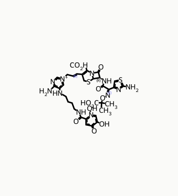 CC(C)(O/N=C(\C(=O)N[C@@H]1C(=O)N2C(C(=O)O)=C(/C=C/C[n+]3cnc(N)c(NCCCCNC(=O)c4cc(=O)c(O)cn4O)c3)CSC12)c1csc(N)n1)C(=O)O